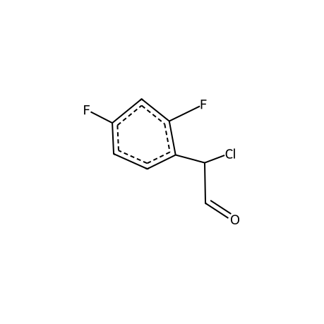 O=CC(Cl)c1ccc(F)cc1F